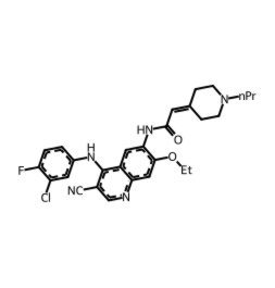 CCCN1CCC(=CC(=O)Nc2cc3c(Nc4ccc(F)c(Cl)c4)c(C#N)cnc3cc2OCC)CC1